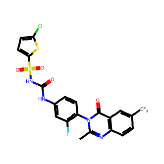 Cc1nc2ccc(C(F)(F)F)cc2c(=O)n1-c1ccc(NC(=O)NS(=O)(=O)c2ccc(Cl)s2)cc1F